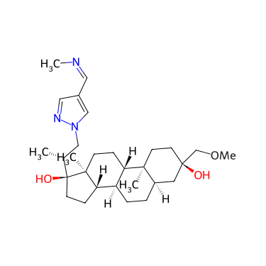 C/N=C\c1cnn(C[C@@H](C)[C@@]2(O)CC[C@H]3[C@@H]4CC[C@@H]5C[C@@](O)(COC)CC[C@]5(C)[C@H]4CC[C@@]32C)c1